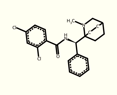 CN1CC2CCC1([C@H](NC(=O)c1ccc(Cl)cc1Cl)c1ccccc1)CC2